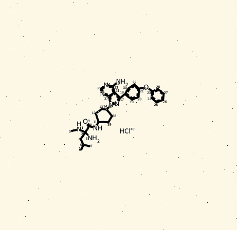 CNC(N)(CC(C)C)C(=O)NC1CCC(n2nc(-c3ccc(Oc4ccccc4)cc3)c3c(N)ncnc32)CC1.Cl